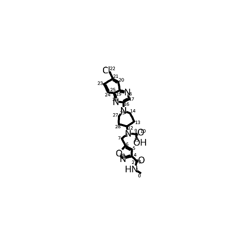 CNC(=O)c1cc(CN(C(=O)O)C2CCN(c3cnc4cc(Cl)ccc4n3)CC2)on1